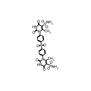 Cc1c(S(N)(=O)=O)c(=O)[nH]c(=O)n1-c1ccc(S(=O)(=O)c2ccc(-n3c(C)c(S(N)(=O)=O)c(=O)[nH]c3=O)cc2)cc1